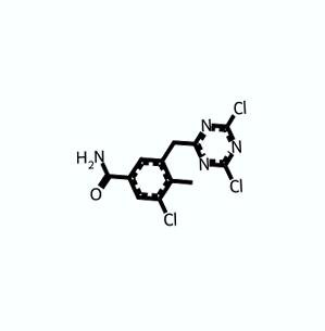 Cc1c(Cl)cc(C(N)=O)cc1Cc1nc(Cl)nc(Cl)n1